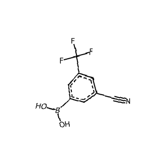 N#Cc1cc(B(O)O)cc(C(F)(F)F)c1